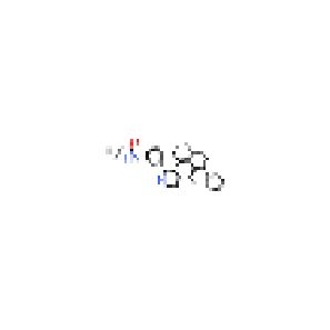 CC(=O)Nc1cccc(-c2ncccc2C2=c3c(ccc4c3=CCc3ccccc3-4)CCC2)c1